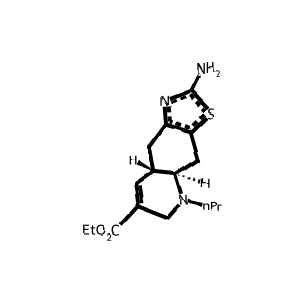 CCCN1CC(C(=O)OCC)=C[C@@H]2Cc3nc(N)sc3C[C@H]21